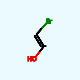 O[C]=CBr